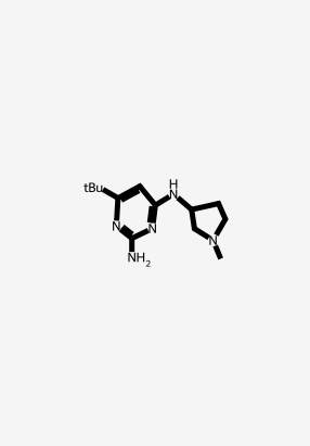 CN1CCC(Nc2cc(C(C)(C)C)nc(N)n2)C1